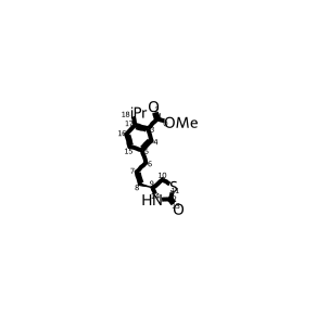 COC(=O)c1cc(C/C=C\[C@H]2CSC(=O)N2)ccc1C(C)C